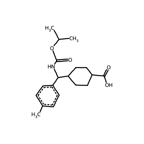 Cc1ccc(C(NC(=O)OC(C)C)C2CCC(C(=O)O)CC2)cc1